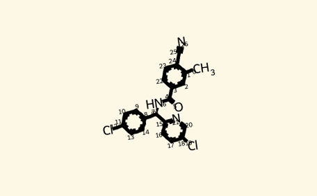 Cc1cc(C(=O)N[C@H](c2ccc(Cl)cc2)c2ccc(Cl)cn2)ccc1C#N